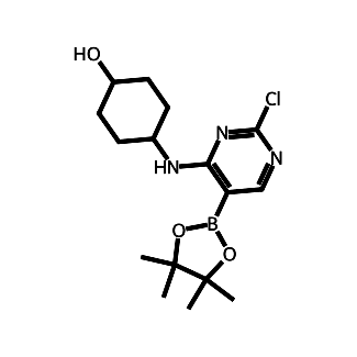 CC1(C)OB(c2cnc(Cl)nc2NC2CCC(O)CC2)OC1(C)C